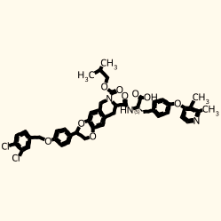 Cc1nccc(Oc2ccc(C[C@H](NC(=O)C3Cc4cc5c(cc4CN3C(=O)OCC(C)C)OC(c3ccc(OCc4ccc(Cl)c(Cl)c4)cc3)CO5)C(=O)O)cc2)c1C